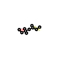 c1ccc2c(c1)oc1c(-c3c4ccccc4c(-c4ccc(-c5cc6c7ccc8sc9ccccc9c8c7sc6c6ccccc56)cc4)c4ccccc34)cccc12